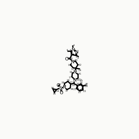 Cc1nn(C)c(C)c1C(=O)N1CCC(C)(N2CCN(C(c3cccc(F)c3)C3CCN(S(=O)(=O)C4CC4)CC3)[C@@H](C)C2)CC1